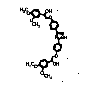 COc1ccc(C(O)COc2ccc(-c3c[nH]c(-c4ccc(OCC(O)c5ccc(OC)c(OC)c5)cc4)n3)cc2)cc1OC